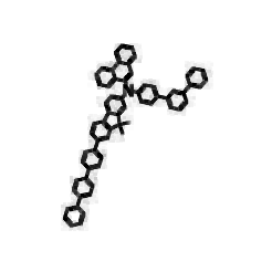 CC1(C)c2cc(-c3ccc(-c4ccc(-c5ccccc5)cc4)cc3)ccc2-c2ccc(N(c3ccc(-c4cccc(-c5ccccc5)c4)cc3)c3cc4ccccc4c4ccccc34)cc21